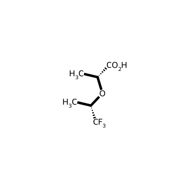 C[C@H](O[C@H](C)C(=O)O)C(F)(F)F